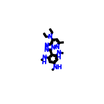 CCN(CC)c1cc(C)nn2c(-c3c(NC)cc(NC)cc3NC)nnc12